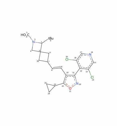 CC(C)(C)C1N(C(=O)O)CC12CC(C=Cc1c(-c3c(Cl)cncc3Cl)noc1C1CC1)C2